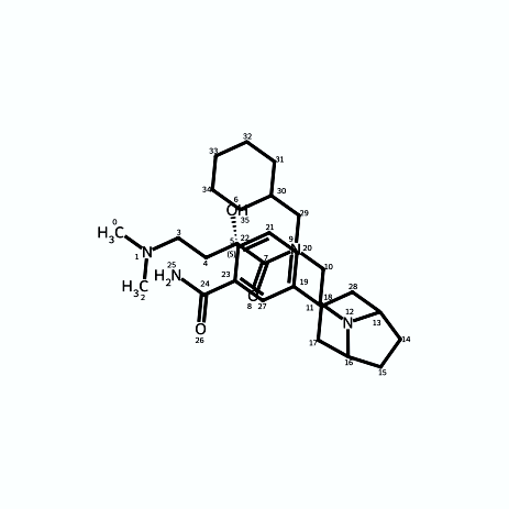 CN(C)CC[C@H](O)C(=O)N(CCN1C2CCC1CC(c1cccc(C(N)=O)c1)C2)CC1CCCCC1